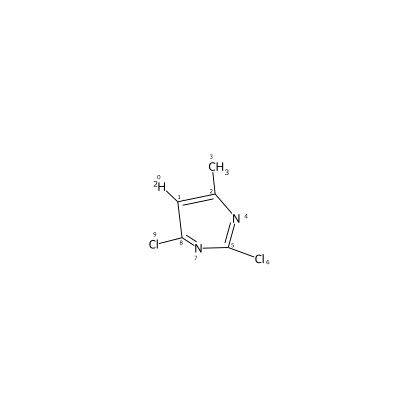 [2H]c1c(C)nc(Cl)nc1Cl